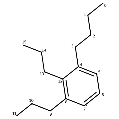 CCCCc1cc[c]c(CCC)c1CCC